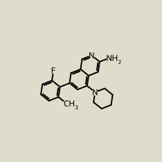 Cc1cccc(F)c1-c1cc(N2CCCCC2)c2cc(N)ncc2c1